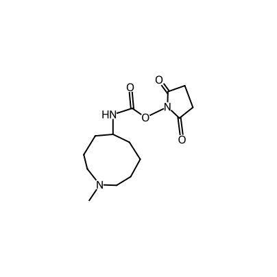 CN1CCCCC(NC(=O)ON2C(=O)CCC2=O)CCC1